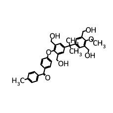 COc1c(CO)cc(C(C)(C)c2cc(CO)c(Oc3ccc(C(=O)c4ccc(C)cc4)cc3)c(CO)c2)cc1CO